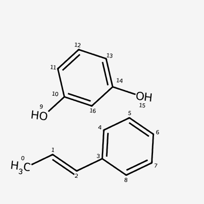 CC=Cc1ccccc1.Oc1cccc(O)c1